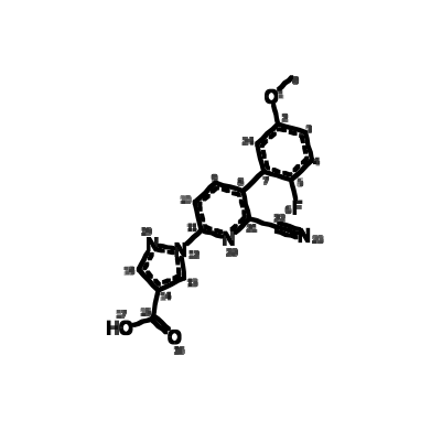 COc1ccc(F)c(-c2ccc(-n3cc(C(=O)O)cn3)nc2C#N)c1